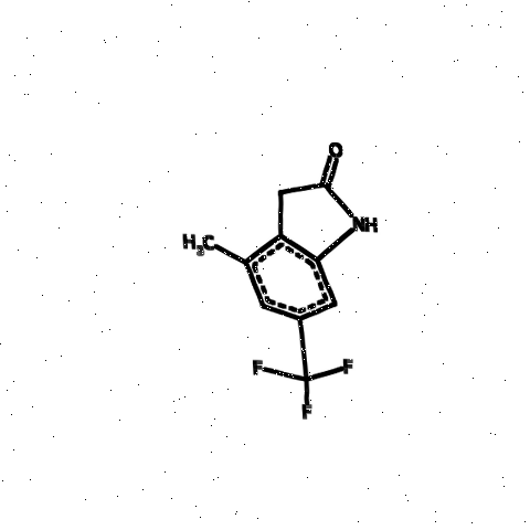 Cc1cc(C(F)(F)F)cc2c1CC(=O)N2